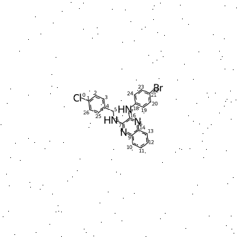 Clc1ccc(CNc2nc3ccccc3nc2Nc2ccc(Br)cc2)cc1